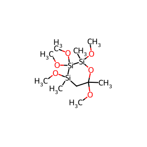 COC1(C)C[Si](C)(OC)[Si](OC)(OC)[Si](C)(OC)O1